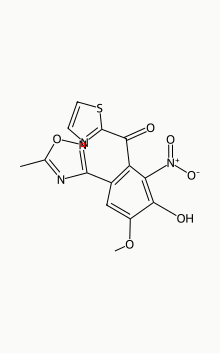 COc1cc(-c2noc(C)n2)c(C(=O)c2nccs2)c([N+](=O)[O-])c1O